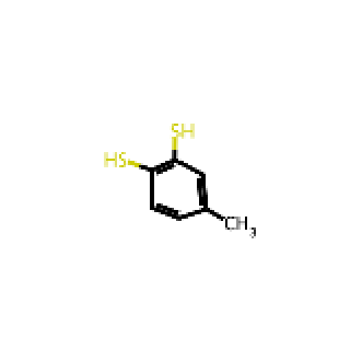 Cc1ccc(S)c(S)c1